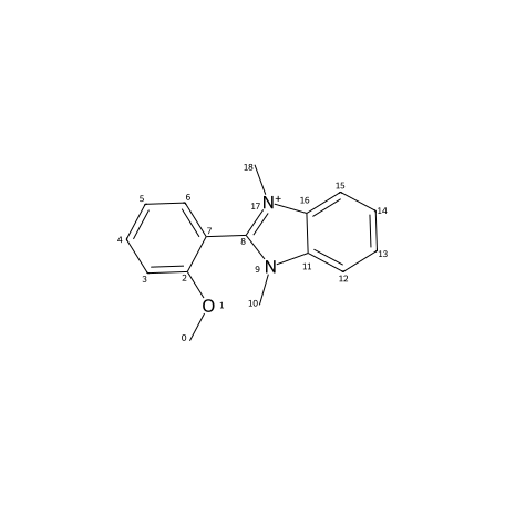 COc1ccccc1-c1n(C)c2ccccc2[n+]1C